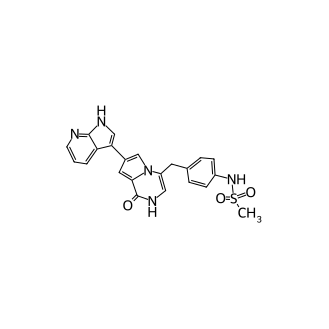 CS(=O)(=O)Nc1ccc(Cc2c[nH]c(=O)c3cc(-c4c[nH]c5ncccc45)cn23)cc1